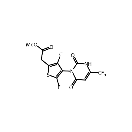 COC(=O)Cc1sc(F)c(-n2c(=O)cc(C(F)(F)F)[nH]c2=O)c1Cl